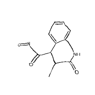 CC1C(=O)Nc2ccccc2C1C(=O)N=O